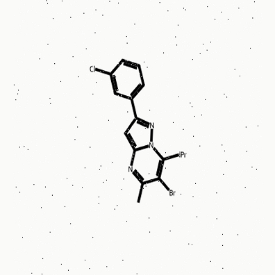 Cc1nc2cc(-c3cccc(Cl)c3)nn2c(C(C)C)c1Br